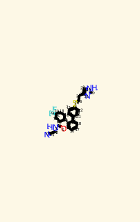 N#CCNC(=O)[C@@H]1CC(F)(F)CC[C@H]1c1ccccc1-c1ccc(SCCc2c[nH]cn2)cc1